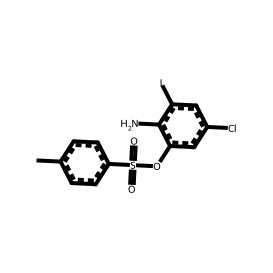 Cc1ccc(S(=O)(=O)Oc2cc(Cl)cc(I)c2N)cc1